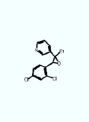 CCC1(c2cccnc2)OC1c1ccc(Cl)cc1Cl